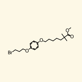 COC(=O)C(C)(C)CCCCCOc1ccc(OCCCBr)cc1